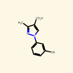 Cc1nn(-c2cccc(C#N)c2)cc1C(=O)O